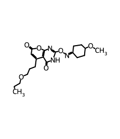 CCCOCCCc1cc(=O)oc2nc(ON=C3CCC(OC)CC3)[nH]c(=O)c12